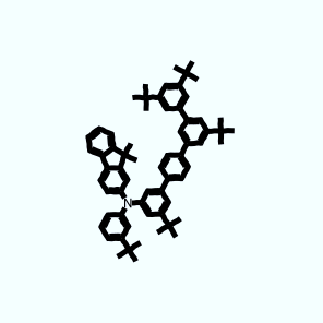 CC(C)(C)c1cc(-c2ccc(-c3cc(N(c4cccc(C(C)(C)C)c4)c4ccc5c(c4)C(C)(C)c4ccccc4-5)cc(C(C)(C)C)c3)cc2)cc(-c2cc(C(C)(C)C)cc(C(C)(C)C)c2)c1